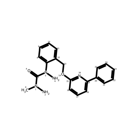 CN(N)C(=O)N(N)c1ccccc1COc1cccc(-c2ccccc2)n1